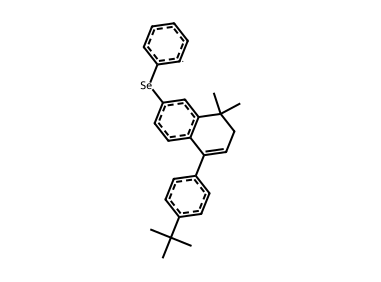 CC(C)(C)c1ccc(C2=CCC(C)(C)c3cc([Se]c4[c]cccc4)ccc32)cc1